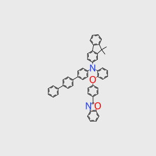 CC1(C)c2ccccc2-c2ccc(N(c3ccc(-c4ccc(-c5ccccc5)cc4)cc3)c3ccccc3Oc3ccc(-c4nc5ccccc5o4)cc3)cc21